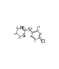 Cc1cc(Cl)ccc1SC1=NCCCS1